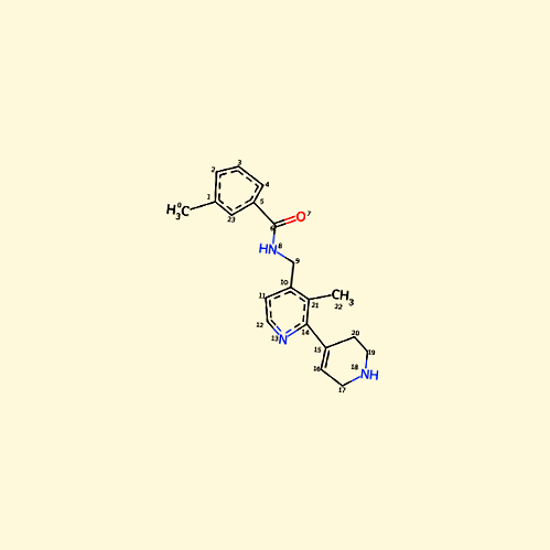 Cc1cccc(C(=O)NCc2ccnc(C3=CCNCC3)c2C)c1